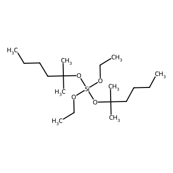 CCCCC(C)(C)O[Si](OCC)(OCC)OC(C)(C)CCCC